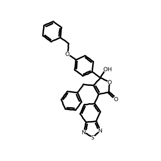 O=C1OC(O)(c2ccc(OCc3ccccc3)cc2)C(Cc2ccccc2)=C1c1ccc2nsnc2c1